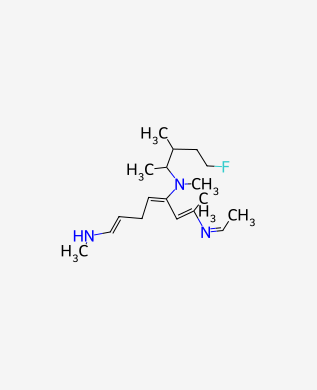 C\C=N/C(C)=C/C(=C\C/C=C/NC)N(C)C(C)C(C)CCF